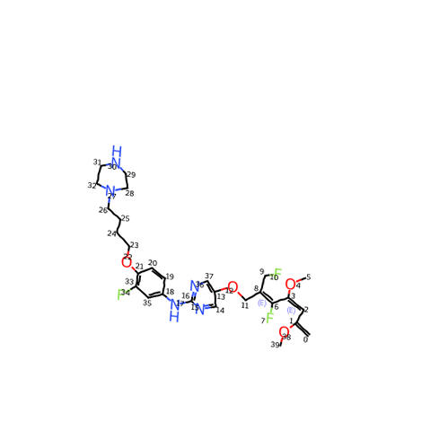 C=C(/C=C(OC)\C(F)=C(/CF)COc1cnc(Nc2ccc(OCCCCN3CCNCC3)c(F)c2)nc1)OC